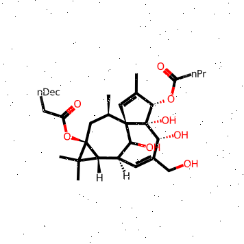 CCCCCCCCCCCC(=O)O[C@@]12C[C@@H](C)[C@]34C=C(C)[C@H](OC(=O)CCC)[C@@]3(O)[C@H](O)C(CO)=C[C@H](C4O)[C@@H]1C2(C)C